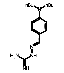 CCCCN(CCCC)c1ccc(C=NNC(=N)N)cc1